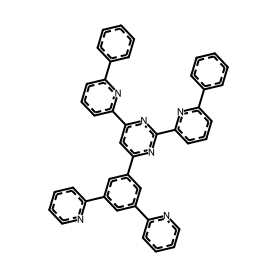 c1ccc(-c2cccc(-c3cc(-c4cc(-c5ccccn5)cc(-c5ccccn5)c4)nc(-c4cccc(-c5ccccc5)n4)n3)n2)cc1